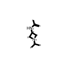 C=C(C)NC1CN(C(C)C)C1